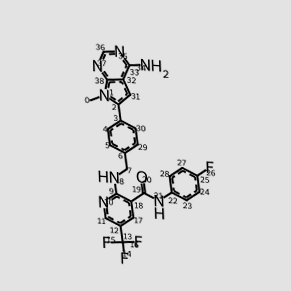 Cn1c(-c2ccc(CNc3ncc(C(F)(F)F)cc3C(=O)Nc3ccc(F)cc3)cc2)cc2c(N)ncnc21